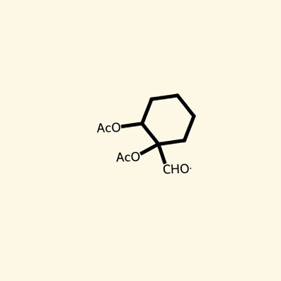 CC(=O)OC1CCCCC1([C]=O)OC(C)=O